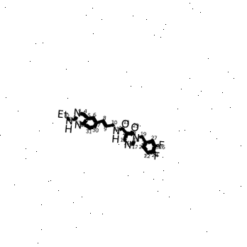 CCNc1ncc2cc(C=CCNC(=O)c3cncn(Cc4ccc(F)c(F)c4)c3=O)ccc2n1